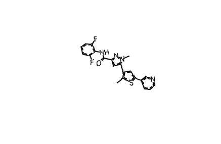 Cc1sc(-c2cccnc2)cc1-c1cc(C(=O)Nc2c(F)cccc2F)nn1C